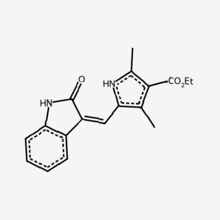 CCOC(=O)c1c(C)[nH]c(C=C2C(=O)Nc3ccccc32)c1C